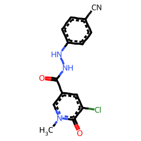 Cn1cc(C(=O)NNc2ccc(C#N)cc2)cc(Cl)c1=O